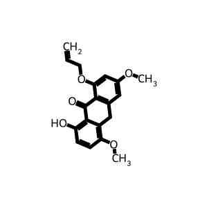 C=CCOc1cc(OC)cc2c1C(=O)c1c(O)ccc(OC)c1C2